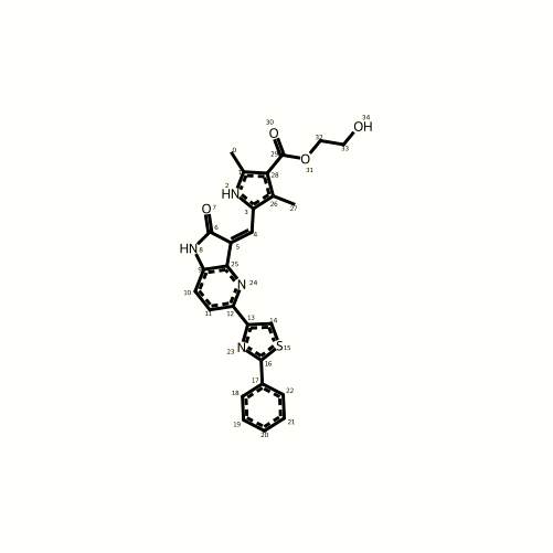 Cc1[nH]c(/C=C2\C(=O)Nc3ccc(-c4csc(-c5ccccc5)n4)nc32)c(C)c1C(=O)OCCO